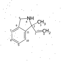 C=CC1(C)NCc2ccccc21